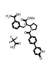 COC(=O)[C@H](Cc1cccc(C(=N)N)c1)C1CCCN1C(=O)c1ccc(-c2ccc(=O)[nH]c2)cc1.O=C(O)C(F)(F)F